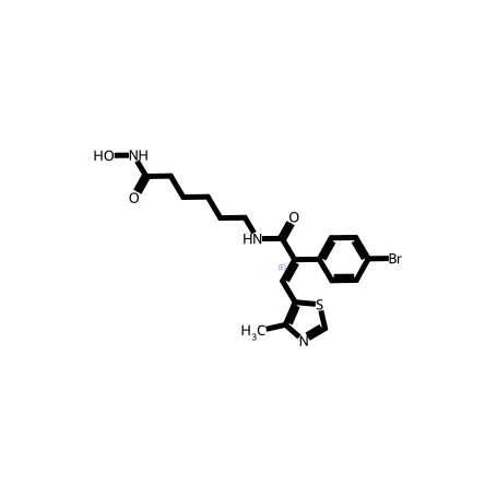 Cc1ncsc1/C=C(/C(=O)NCCCCCC(=O)NO)c1ccc(Br)cc1